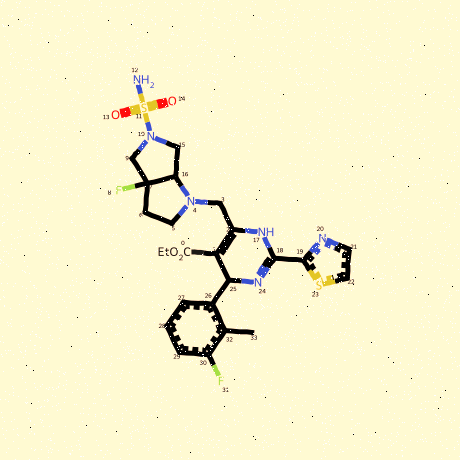 CCOC(=O)C1=C(CN2CCC3(F)CN(S(N)(=O)=O)CC23)NC(c2nccs2)=NC1c1cccc(F)c1C